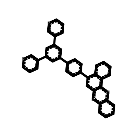 c1cncc(-c2cc(-c3ccc(-c4cc5nc6ccccc6nc5c5ccccc45)cc3)cc(-c3cccnc3)c2)c1